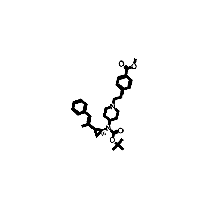 COC(=O)c1ccc(CCN2CCC(N(C(=O)OC(C)(C)C)[C@H]3CC3C(C)=Cc3ccccc3)CC2)cc1